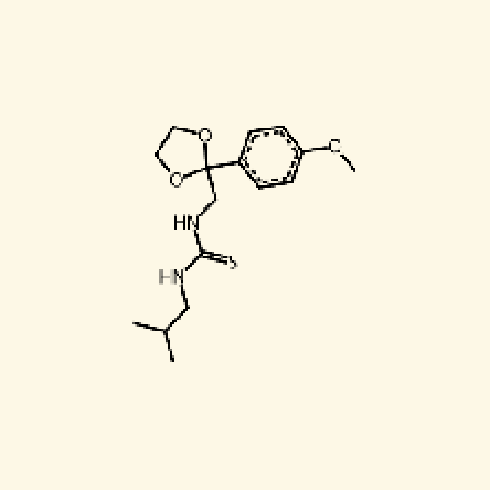 COc1ccc(C2(CNC(=S)NCC(C)C)OCCO2)cc1